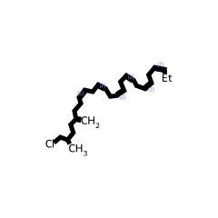 C=C(CC/C=C\C/C=C\C/C=C\C/C=C\C/C=C\C/C=C\CC)CCC(C)CCl